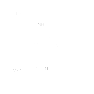 CNC(C)C(=O)NC1CCc2cccc3c2N(C1=O)C(C(=O)NC(C)C(=O)O)C3